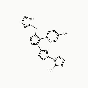 Cc1nccn1-c1ccc(-c2ccc(Cc3nnn[nH]3)n2-c2ccc(O)cc2)s1